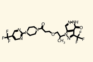 CC(COCCC(=O)N1CCN(c2ncc(C(F)(F)F)cn2)CC1)n1nc(C(F)(F)F)c2c(=O)[nH]ncc21